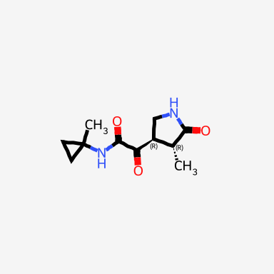 C[C@H]1C(=O)NC[C@@H]1C(=O)C(=O)NC1(C)CC1